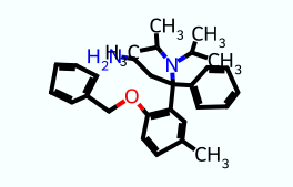 Cc1ccc(OCc2ccccc2)c(C(CCN)(c2ccccc2)N(C(C)C)C(C)C)c1